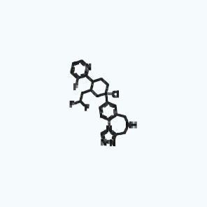 Fc1cccnc1C1CCC(Cl)(c2ccc3c(c2)CNCc2nncn2-3)CC1CC(F)F